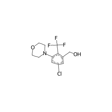 OCc1cc(Cl)cc(N2CCOCC2)c1C(F)(F)F